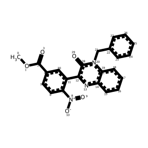 COC(=O)c1ccc([N+](=O)[O-])c(-c2nc3ccccc3n(Cc3ccccc3)c2=O)c1